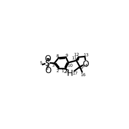 [2H]c1cc(S(C)(=O)=O)ccc1C1=CCOC1(C)C